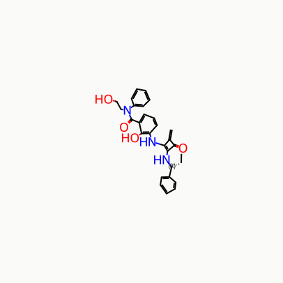 C=C1C(=O)C(N[C@H](CC)c2ccccc2)=C1Nc1cccc(C(=O)N(CCO)c2ccccc2)c1O